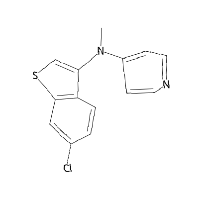 CN(c1ccncc1)c1csc2cc(Cl)ccc12